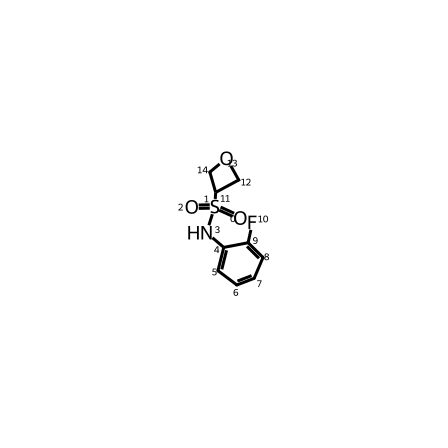 O=S(=O)(Nc1ccccc1F)C1COC1